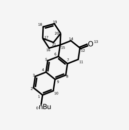 CCCCc1ccc2cc3c(cc2c1)CC(=O)CC31CC2C=CC1C2